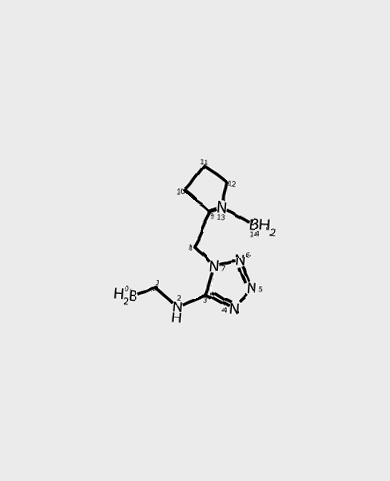 BCNc1nnnn1CC1CCCN1B